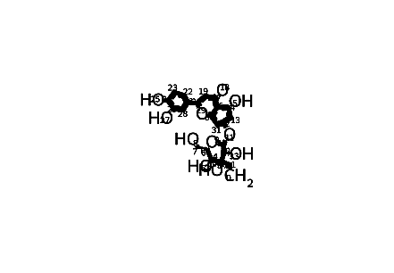 C=C[C@@]1(O)[C@H](O)[C@@H](CO)OC(Oc2cc(O)c3c(=O)cc(-c4ccc(O)c(O)c4)oc3c2)[C@@H]1O